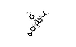 CC[C@H](F)CNc1ncc(C(=O)NC2CCN(C3CCC3)CC2)c(N[C@H]2CC[C@H](O)CC2)n1